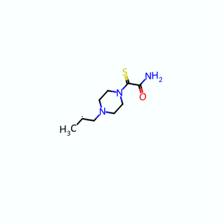 C[CH]CN1CCN(C(=S)C(N)=O)CC1